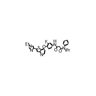 CCn1cnc(-c2cc3nccc(Oc4ccc(NC(=O)CC(=O)N(c5ccccc5)C(C)C)cc4F)c3s2)c1